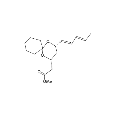 CC=CC=C[C@@H]1C[C@H](CC(=O)OC)OC2(CCCCC2)O1